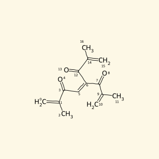 C=C(C)C(=O)C=C(C(=O)C(=C)C)C(=O)C(=C)C